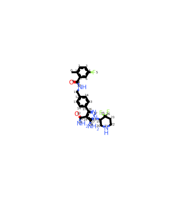 Cc1ccc(F)cc1C(=O)NCc1ccc(-c2nn(C3CNCCC3(F)F)c(N)c2C(N)=O)cc1